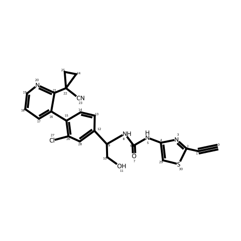 C#Cc1nc(NC(=O)NC(CO)c2ccc(-c3cccnc3C3(C#N)CC3)c(Cl)c2)cs1